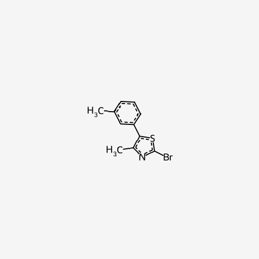 Cc1cccc(-c2sc(Br)nc2C)c1